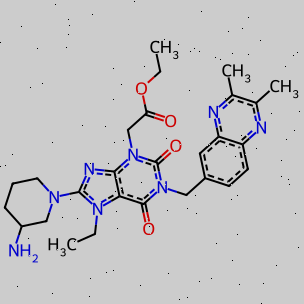 CCOC(=O)Cn1c(=O)n(Cc2ccc3nc(C)c(C)nc3c2)c(=O)c2c1nc(N1CCCC(N)C1)n2CC